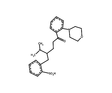 CN(C)C(CCC(=O)c1ccccc1N1CCOCC1)Cc1ccccc1S(=O)(=O)O